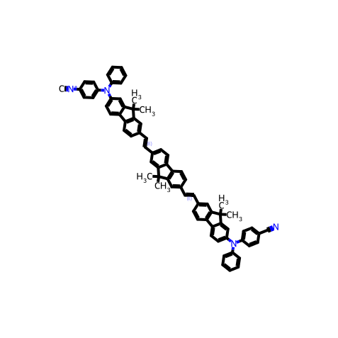 [C-]#[N+]c1ccc(N(c2ccccc2)c2ccc3c(c2)C(C)(C)c2cc(/C=C/c4ccc5c(c4)C(C)(C)c4cc(/C=C/c6ccc7c(c6)C(C)(C)c6cc(N(c8ccccc8)c8ccc(C#N)cc8)ccc6-7)ccc4-5)ccc2-3)cc1